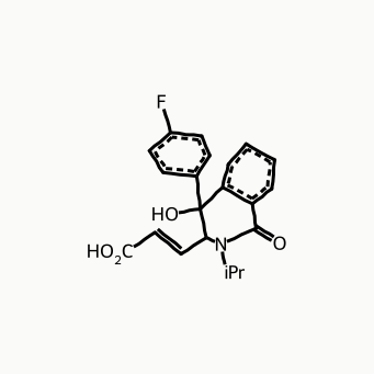 CC(C)N1C(=O)c2ccccc2C(O)(c2ccc(F)cc2)C1C=CC(=O)O